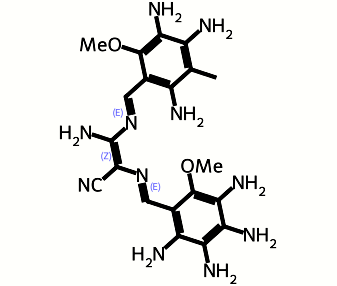 COc1c(N)c(N)c(C)c(N)c1/C=N/C(N)=C(C#N)\N=C\c1c(N)c(N)c(N)c(N)c1OC